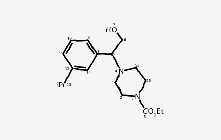 CCOC(=O)N1CCN(C(CO)c2cccc(C(C)C)c2)CC1